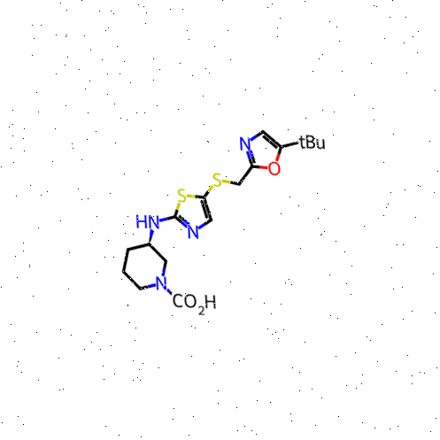 CC(C)(C)c1cnc(CSc2cnc(N[C@@H]3CCCN(C(=O)O)C3)s2)o1